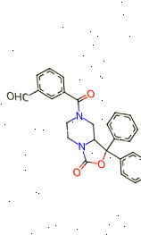 O=Cc1cccc(C(=O)N2CCN3C(=O)OC(c4ccccc4)(c4ccccc4)C3C2)c1